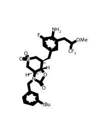 COC(Cc1cc(C[C@@H]2CS(=O)(=O)C[C@H]3[C@H]2OC(=O)N3Cc2cccc(C(C)(C)C)c2)cc(F)c1N)C(F)(F)F